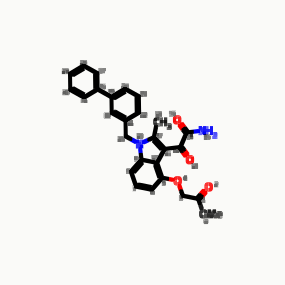 COC(=O)COc1cccc2c1c(C(=O)C(N)=O)c(C)n2Cc1cccc(-c2ccccc2)c1